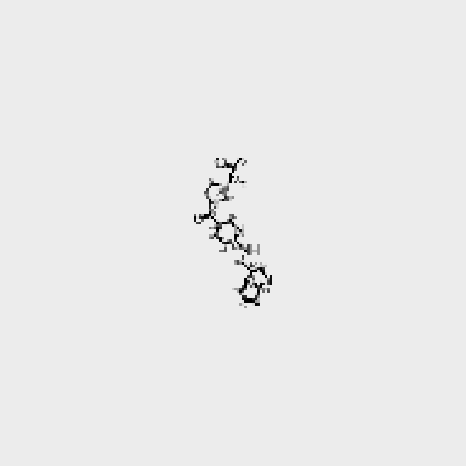 CC(=O)N(C)[C@H]1CCN(C(=O)c2ccc(NCc3cnc4sccn34)nc2)C1